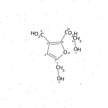 CO.CO.O=C(O)c1ccoc1C(=O)O